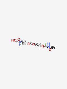 CC(C)C(=O)NCC(F)COCCCCCOCCOCCCCCNC(=O)CO